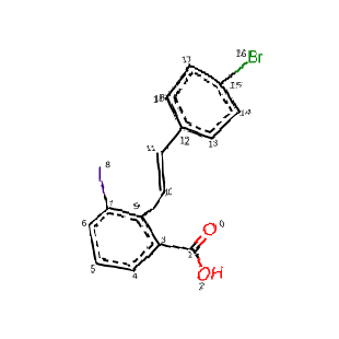 O=C(O)c1cccc(I)c1C=Cc1ccc(Br)cc1